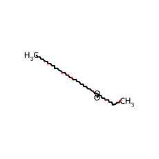 CCCC/C=C\CCCCCCCC(=O)OCCCCCCCCCCCCCCCCCCCCCCCCCCCCCCCCCC